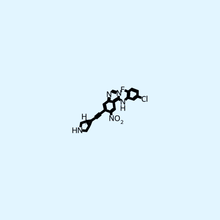 O=[N+]([O-])c1cc2c(Nc3cc(Cl)ccc3F)ncnc2cc1C#CC1C2CNC[C@@H]12